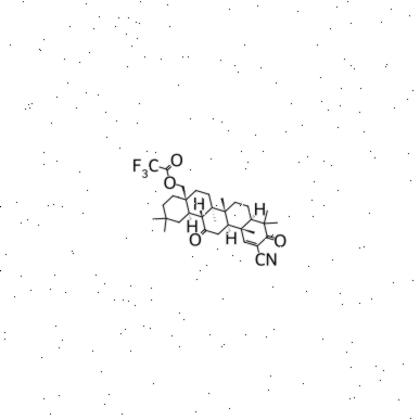 CC1(C)CC[C@]2(COC(=O)C(F)(F)F)CC[C@]3(C)[C@H](C(=O)C[C@@H]4[C@@]5(C)C=C(C#N)C(=O)C(C)(C)[C@@H]5CC[C@]43C)[C@H]2C1